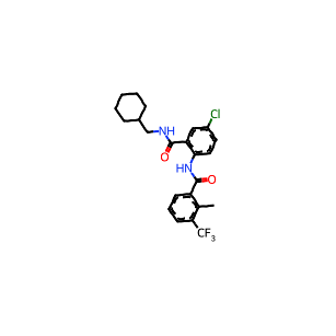 Cc1c(C(=O)Nc2ccc(Cl)cc2C(=O)NCC2CCCCC2)cccc1C(F)(F)F